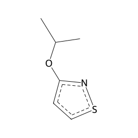 CC(C)Oc1ccsn1